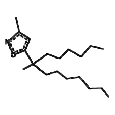 CCCCCCCC(C)(CCCCCC)c1cc(C)no1